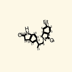 CCc1ccc2c(c1)CN(CC(C)c1ccc3c(c1)CC(=O)N3)C2=O